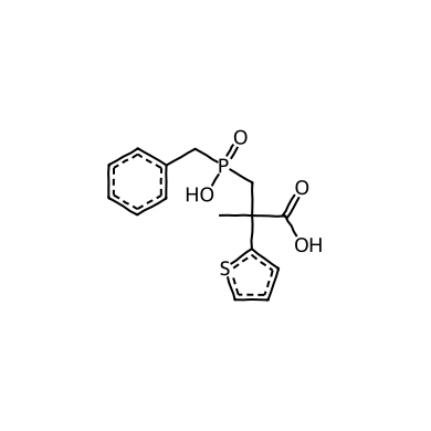 CC(CP(=O)(O)Cc1ccccc1)(C(=O)O)c1cccs1